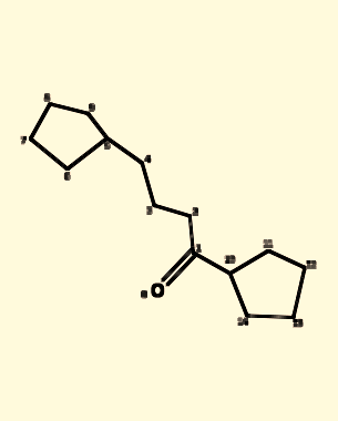 O=C(CCCC1CCCC1)C1CCCC1